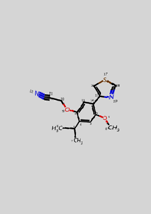 COc1cc(C(C)C)c(OCC#N)cc1-c1cscn1